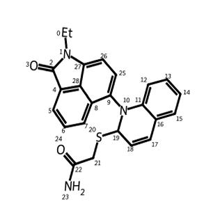 CCN1C(=O)c2cccc3c(N4c5ccccc5C=CC4SCC(N)=O)ccc1c23